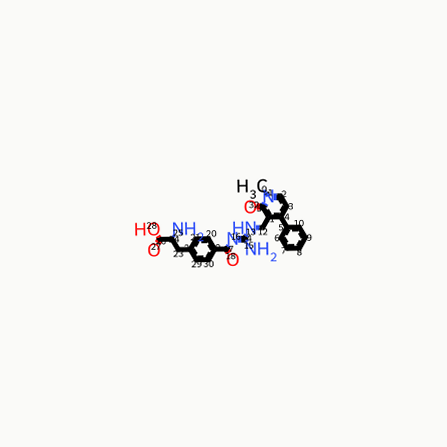 Cn1ccc(-c2ccccc2)c(CN/C(N)=N/C(=O)c2ccc(C[C@H](N)C(=O)O)cc2)c1=O